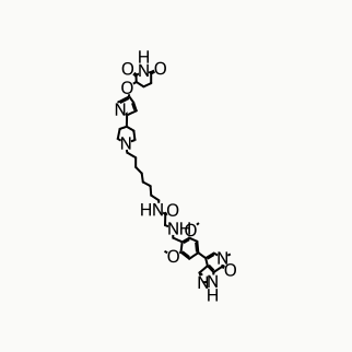 COc1cc(-c2cn(C)c(=O)c3[nH]ncc23)cc(OC)c1CNCC(=O)NCCCCCCCCN1CCC(c2ccc(OC3CCC(=O)NC3=O)cn2)CC1